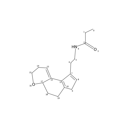 CCC(=O)NCCC1=CCC2=C1C1=CCCOC1CC2